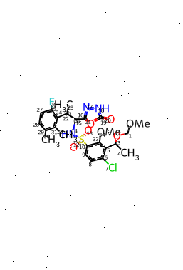 COCOC(C)c1c(Cl)ccc(S(=O)(=O)N[C@H](c2n[nH]c(=O)o2)[C@H](C)c2c(F)ccc(C)c2C)c1OC